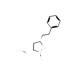 CC(=O)N1N[C@H](CCc2ccccc2)C[C@H]1OC(C)(C)C